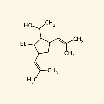 CCC1C(C=C(C)C)CC(C=C(C)C)C1C(C)O